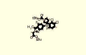 Cc1c2c(F)cc(NC3(c4c(F)ccc(Cl)c4Cl)CCN(C(=O)OC(C)(C)C)C3)cc2nn1CC(=O)OC(C)(C)C